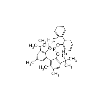 Cc1cc(C(C)(C)C)c2op(Oc3ccccc3-c3ccccc3C)oc3c(C(C)(C)C)cc(C)c(C)c3c2c1